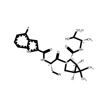 CC(C)C[C@H](NC(=O)c1cc2c(F)cccc2[nH]1)C(=O)N1C[C@H]2[C@@H]([C@H]1C(=O)N[C@@H](C)C(O)S(=O)(=O)O)C2(C)C